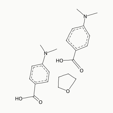 C1CCOC1.CN(C)c1ccc(C(=O)O)cc1.CN(C)c1ccc(C(=O)O)cc1